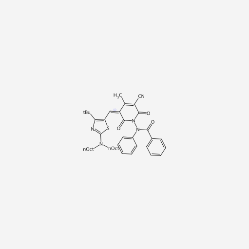 CCCCCCCCN(CCCCCCCC)c1nc(C(C)(C)C)c(/C=C2\C(=O)N(N(C(=O)c3ccccc3)c3ccccc3)C(=O)C(C#N)=C2C)s1